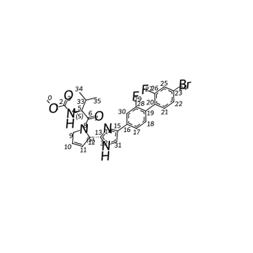 COC(=O)N[C@H](C(=O)N1CC=C[C@H]1c1nc(-c2ccc(-c3ccc(Br)cc3F)c(F)c2)c[nH]1)C(C)C